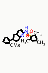 COc1ccccc1-c1ccc2nc(NS(=O)(=O)c3c(C)cc(C)cc3C)ccc2c1